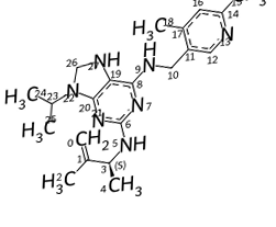 C=C(C)[C@H](C)Nc1nc(NCc2cnc(C)cc2C)c2c(n1)N(C(C)C)CN2